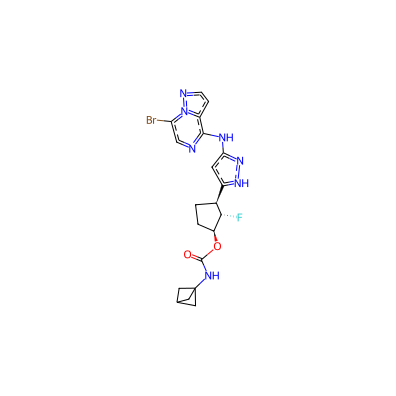 O=C(NC12CC(C1)C2)O[C@H]1CC[C@@H](c2cc(Nc3ncc(Br)n4nccc34)n[nH]2)[C@@H]1F